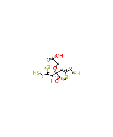 O=C(O)COC(CC(S)CS)(CC(S)CS)C(O)=S